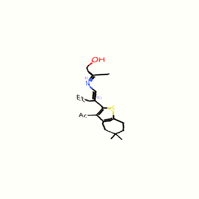 CC/C(=C\N=C(/C)CO)c1sc2c(c1C(C)=O)CC(C)(C)CC2